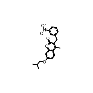 Cc1c(Cc2cccc([N+](=O)[O-])c2)c(=O)oc2cc(OCC(C)C)ccc12